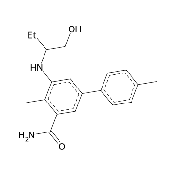 CCC(CO)Nc1cc(-c2ccc(C)cc2)cc(C(N)=O)c1C